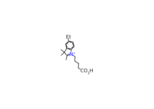 CCc1ccc2c(c1)C(C)(C)C(C)=[N+]2CCCCC(=O)O